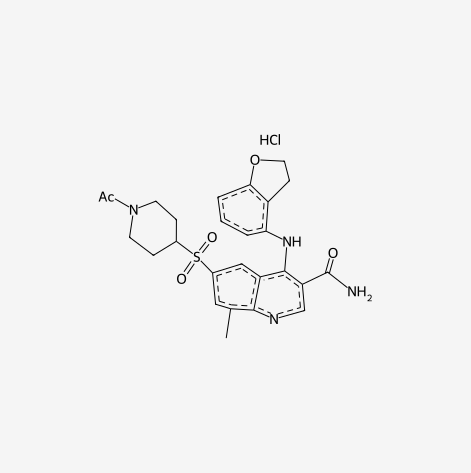 CC(=O)N1CCC(S(=O)(=O)c2cc(C)c3ncc(C(N)=O)c(Nc4cccc5c4CCO5)c3c2)CC1.Cl